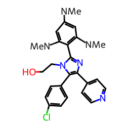 CNc1cc(NC)c(-c2nc(-c3ccncc3)c(-c3ccc(Cl)cc3)n2CCO)c(NC)c1